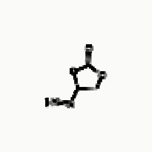 N=NC1COC(=O)O1